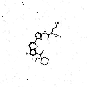 CN(CCO)C(=O)Oc1ccc(-c2cnc3[nH]cc(C(=O)C4(C)CCCCC4)c3n2)s1